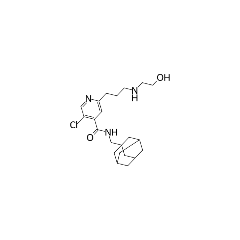 O=C(NCC12CC3CC(CC(C3)C1)C2)c1cc(CCCNCCO)ncc1Cl